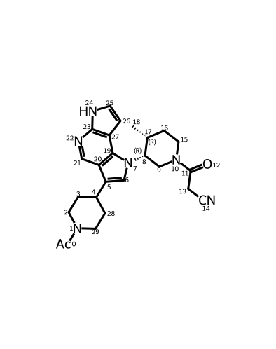 CC(=O)N1CCC(c2cn([C@H]3CN(C(=O)CC#N)CC[C@H]3C)c3c2cnc2[nH]ccc23)CC1